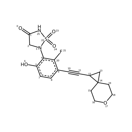 O=C1CN(c2c(O)ccc(C#CC3CC34CCOCC4)c2F)S(=O)(=O)N1